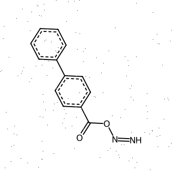 N=NOC(=O)c1ccc(-c2ccccc2)cc1